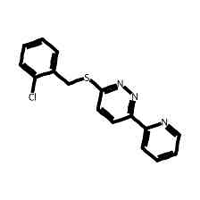 Clc1ccccc1CSc1ccc(-c2ccccn2)nn1